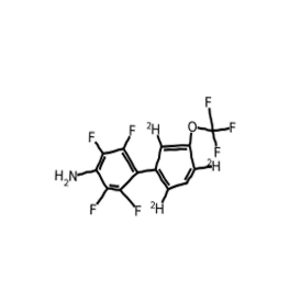 [2H]c1cc([2H])c(-c2c(F)c(F)c(N)c(F)c2F)c([2H])c1OC(F)(F)F